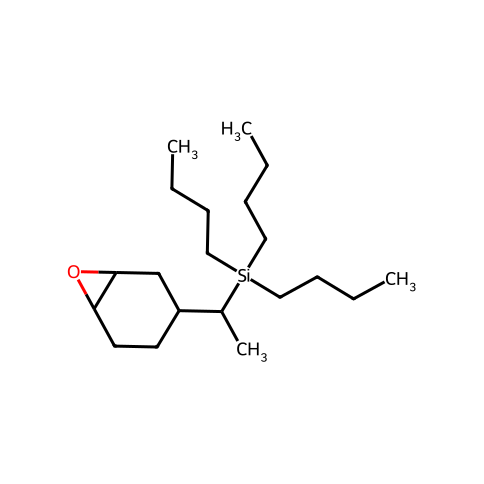 CCCC[Si](CCCC)(CCCC)C(C)C1CCC2OC2C1